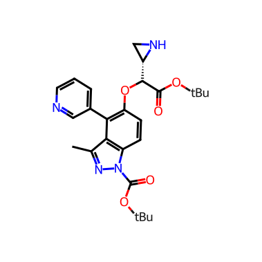 Cc1nn(C(=O)OC(C)(C)C)c2ccc(OC(C(=O)OC(C)(C)C)[C@@H]3CN3)c(-c3cccnc3)c12